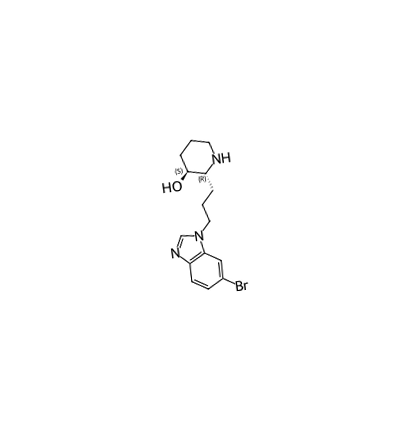 O[C@H]1CCCN[C@@H]1CCCn1cnc2ccc(Br)cc21